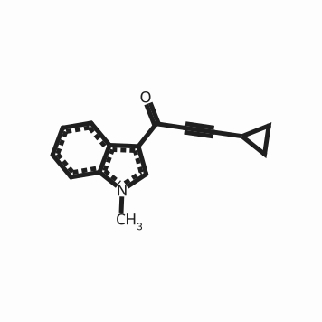 Cn1cc(C(=O)C#CC2CC2)c2ccccc21